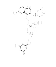 COc1ccc2ncc(CN3CCOCC3)c(CCCC3(CO)CCN(CCOc4cc(F)cc(F)c4)CC3)c2c1